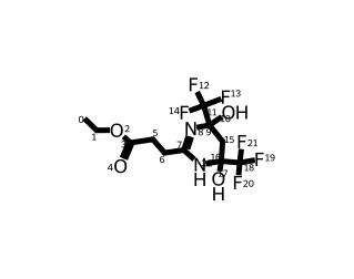 CCOC(=O)CCC1=NC(O)(C(F)(F)F)CC(O)(C(F)(F)F)N1